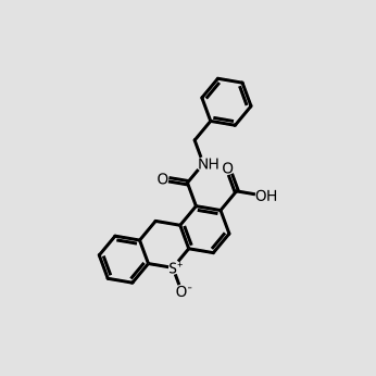 O=C(O)c1ccc2c(c1C(=O)NCc1ccccc1)Cc1ccccc1[S+]2[O-]